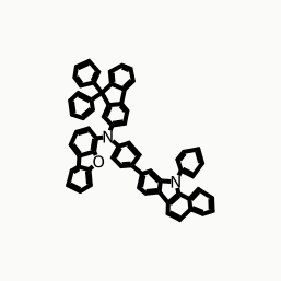 c1ccc(-n2c3cc(-c4ccc(N(c5ccc6c(c5)C(c5ccccc5)(c5ccccc5)c5ccccc5-6)c5cccc6c5oc5ccccc56)cc4)ccc3c3ccc4ccccc4c32)cc1